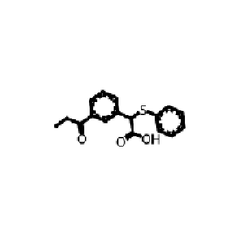 CCC(=O)c1cccc(C(Sc2ccccc2)C(=O)O)c1